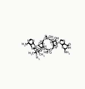 CC(C)(C)[Si](C)(C)O[C@@H]1[C@@H]2NP(=O)(O)OC[C@H]3O[C@@H](n4cnc5c(=O)[nH]c(N)nc54)[C@H](O)[C@@H]3NP(=O)(O)OC[C@H]2O[C@H]1n1cnc2c(N)ncnc21